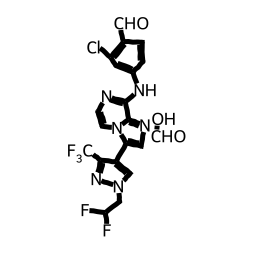 O=CO.O=Cc1ccc(Nc2nccn3c(-c4cn(CC(F)F)nc4C(F)(F)F)cnc23)cc1Cl